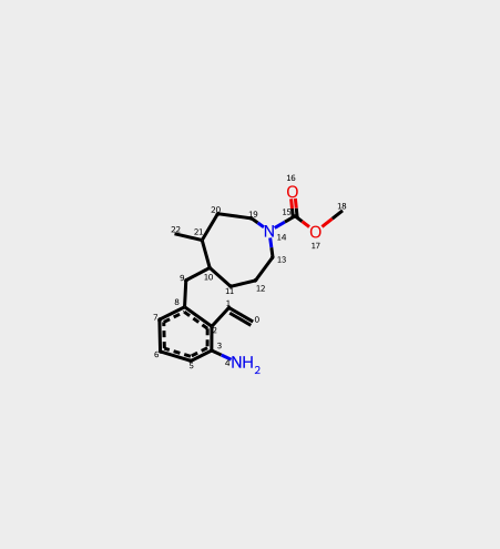 C=Cc1c(N)cccc1CC1CCCN(C(=O)OC)CCC1C